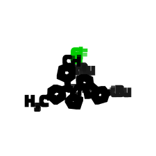 Cc1ccc([C](c2ccc(C)cc2)=[Zr+2]([C]2=CC=CC2)[c]2cc(C(C)(C)C)cc3c2Cc2ccc(C(C)(C)C)cc2-3)cc1.[Cl-].[Cl-]